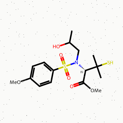 COC(=O)[C@H](N(CC(C)O)S(=O)(=O)c1ccc(OC)cc1)C(C)(C)S